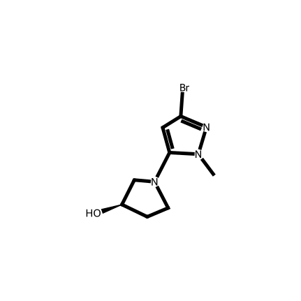 Cn1nc(Br)cc1N1CC[C@@H](O)C1